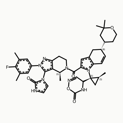 Cc1cc(-n2nc3c(c2-n2cc[nH]c2=O)[C@H](C)N(C(=O)c2cc4c(n2[C@@]2(C5C=NOC(=O)N5)C[C@@H]2C)C=C[C@@H](C2CCOC(C)(C)C2)C4)CC3)cc(C)c1F